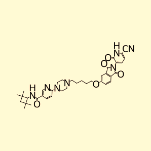 CC1(C)CC(C)(C)C1NC(=O)c1ccc(N2CCN(CCCCCOc3ccc4c(c3)C(=O)N(c3ccc(C#N)[nH]c3=O)C4=O)CC2)nc1